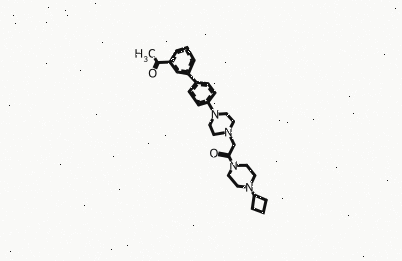 CC(=O)c1cccc(-c2ccc(N3CCN(CC(=O)N4CCN(C5CCC5)CC4)CC3)cc2)c1